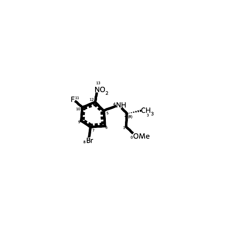 COC[C@@H](C)Nc1cc(Br)cc(F)c1[N+](=O)[O-]